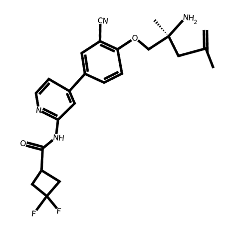 C=C(C)C[C@](C)(N)COc1ccc(-c2ccnc(NC(=O)C3CC(F)(F)C3)c2)cc1C#N